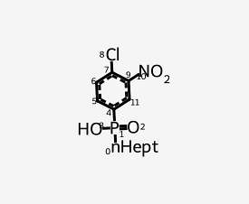 CCCCCCCP(=O)(O)c1ccc(Cl)c([N+](=O)[O-])c1